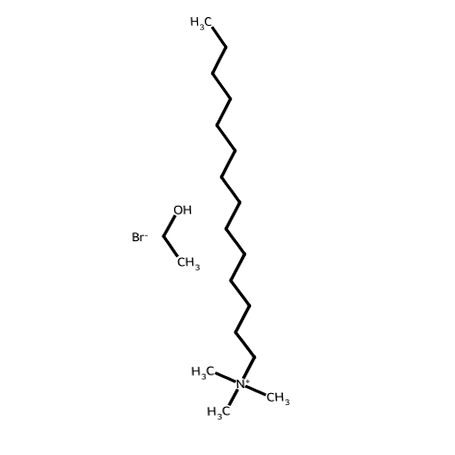 CCCCCCCCCCCCCC[N+](C)(C)C.CCO.[Br-]